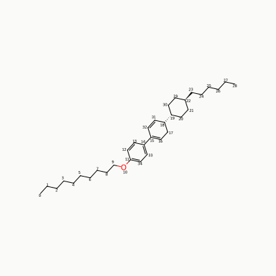 CCCCCCCCCCOc1ccc(C2=CCC([C@H]3CC[C@H](CCCCCC)CC3)C=C2)cc1